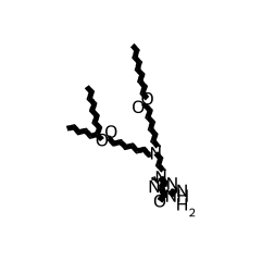 CCCCCCCCCOC(=O)CCCCCCCN(CCCCCCCC(=O)OC(CCCCC)CCCCCCCC)CCCn1cnc2c(=O)[nH]c(N)nc21